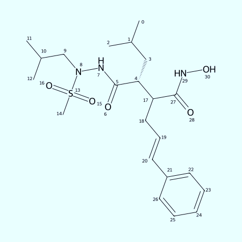 CC(C)C[C@@H](C(=O)NN(CC(C)C)S(C)(=O)=O)C(C/C=C/c1ccccc1)C(=O)NO